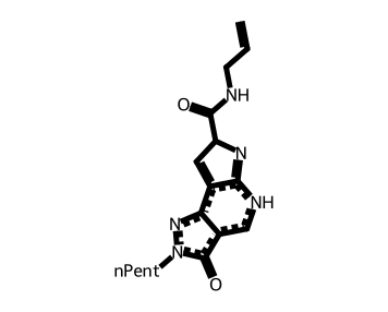 C=CCNC(=O)C1C=c2c3nn(CCCCC)c(=O)c-3c[nH]c2=N1